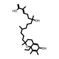 C=C(O)/C(C)=C/CCC(C)(O)CCCC(C)CCCC1(C)CCC2=CC(O)C(C)=C(C)C2(CC)O1